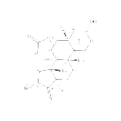 CC(=O)O.C[C@@]12CC[C@@H](O)C[C@H]1CC[C@H]1[C@H]2CC[C@@]2(C)C(=O)[C@H](Br)C[C@H]12